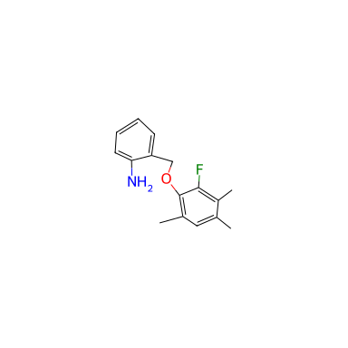 Cc1cc(C)c(OCc2ccccc2N)c(F)c1C